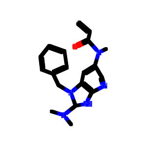 C=CC(=O)N(C)c1cnc2c(c1)N(Cc1ccccc1)C(N(C)C)N2